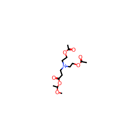 COC(C)OC(=O)CCN(CCOC(C)=O)CCOC(C)=O